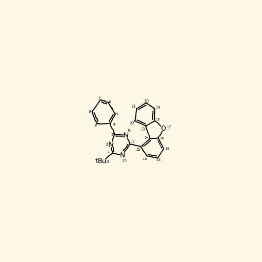 CC(C)(C)c1nc(-c2ccccc2)nc(-c2cccc3oc4ccccc4c23)n1